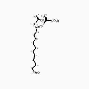 C=C(C)C(=O)O.C=C(C)C(=O)O.O=CCCCCCCCCCCC=O